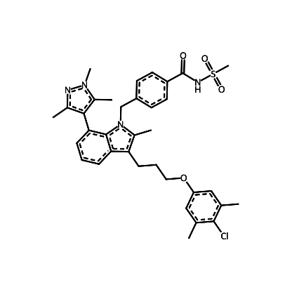 Cc1cc(OCCCc2c(C)n(Cc3ccc(C(=O)NS(C)(=O)=O)cc3)c3c(-c4c(C)nn(C)c4C)cccc23)cc(C)c1Cl